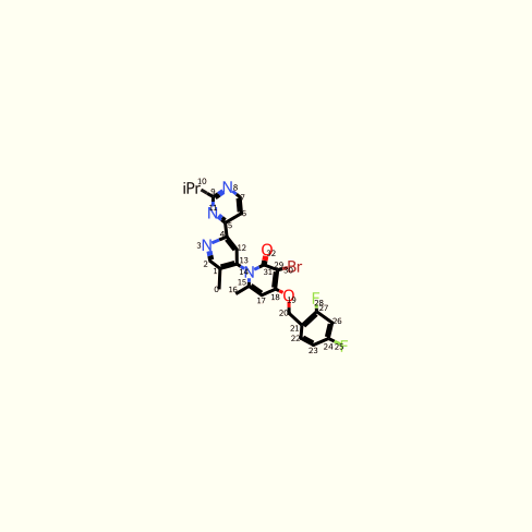 Cc1cnc(-c2ccnc(C(C)C)n2)cc1-n1c(C)cc(OCc2ccc(F)cc2F)c(Br)c1=O